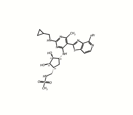 CCCc1nccc2sc(-c3c(C)nc(NCC4CC4)nc3N[C@@H]3C[C@H](CNS(C)(=O)=O)[C@@H](O)[C@H]3O)nc12